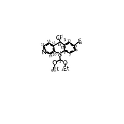 CCOC(OCC)N1c2ccc(F)cc2C(C(F)(F)F)c2ccncc21